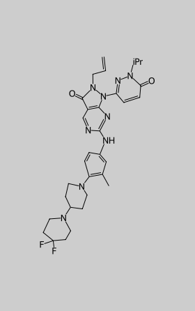 C=CCn1c(=O)c2cnc(Nc3ccc(N4CCC(N5CCC(F)(F)CC5)CC4)c(C)c3)nc2n1-c1ccc(=O)n(C(C)C)n1